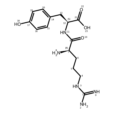 N=C(N)NCCC[C@@H](N)C(=O)N[C@@H](Cc1ccc(O)cc1)C(=O)O